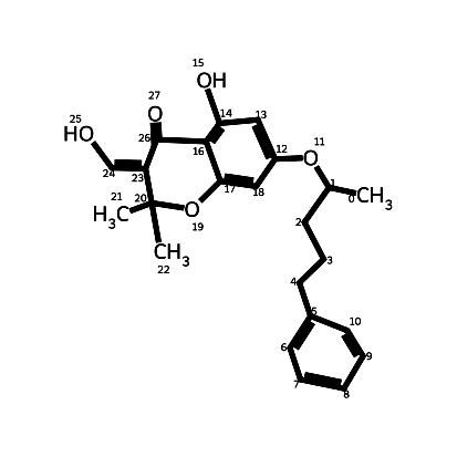 CC(CCCc1ccccc1)Oc1cc(O)c2c(c1)OC(C)(C)C(=CO)C2=O